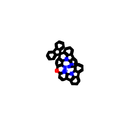 c1ccc2c(c1)-c1ccccc1C21c2ccc3c4c2-n2c5c1cccc5c1ccc[n+](c12)[N+]41c2cccc4c5cccc6c7ccc([n+]1c7n(c24)c56)O3